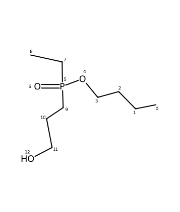 CCCCOP(=O)(CC)CCCO